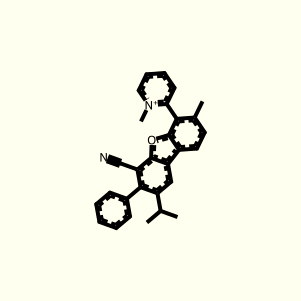 Cc1ccc2c(oc3c(C#N)c(-c4ccccc4)c(C(C)C)cc32)c1-c1cccc[n+]1C